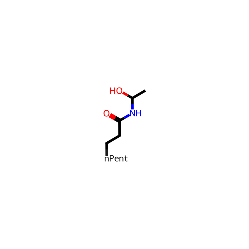 CCCCCCCC(=O)NC(C)O